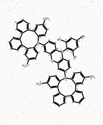 Cc1ccc2c(c1)c1ccccc1c1ccccc1c1cc(C)ccc1n2-c1ccc2c(c1)Oc1cc(-n3c4ccc(C)cc4c4ccccc4c4ccccc4c4cc(C)ccc43)ccc1B2c1c(C(C)C)cc(C(C)C)cc1C(C)C